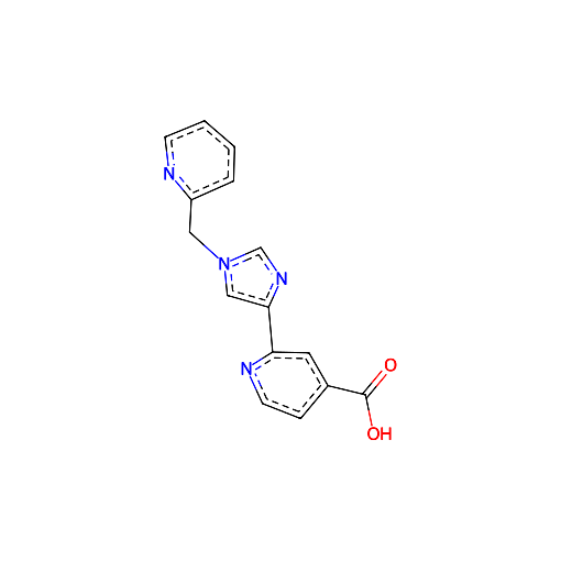 O=C(O)c1ccnc(-c2cn(Cc3ccccn3)cn2)c1